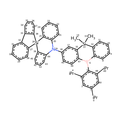 CC(C)c1cc(C(C)C)c(B2c3ccccc3[Si](C)(C)c3cc(N4c5ccccc5[Si]5(c6ccccc6-c6ccccc65)c5ccccc54)ccc32)c(C(C)C)c1